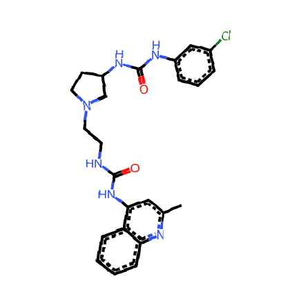 Cc1cc(NC(=O)NCCN2CCC(NC(=O)Nc3cccc(Cl)c3)C2)c2ccccc2n1